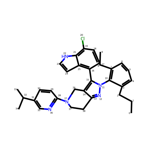 CCCc1cccc(CC)c1-n1nc2c(c1-c1ccc(Cl)c3[nH]ccc13)CN(c1ccc(C(C)C)cn1)CC2